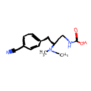 CN(C)C(CNC(=O)O)Cc1ccc(C#N)cc1